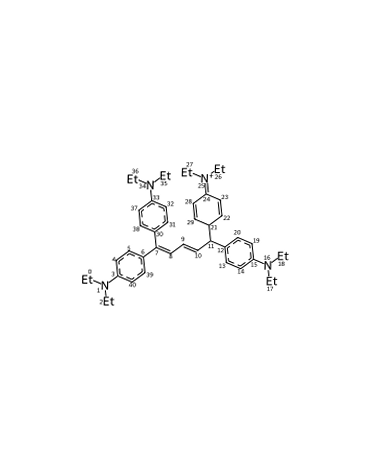 CCN(CC)c1ccc(C(=CC=CC(c2ccc(N(CC)CC)cc2)C2C=CC(=[N+](CC)CC)C=C2)c2ccc(N(CC)CC)cc2)cc1